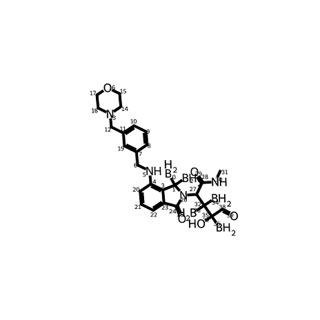 BC1(B)c2c(NCc3cccc(CN4CCOCC4)c3)cccc2C(=O)N1C(C(=O)NC)C(B)(B)C(B)(O)C=O